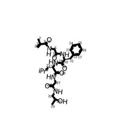 C=C(C)C(=O)NCC(=O)N[C@@H](Cc1ccccc1)C(=O)N[C@@H](CC(C)C)C(=O)NCC(=O)NCC(C)O